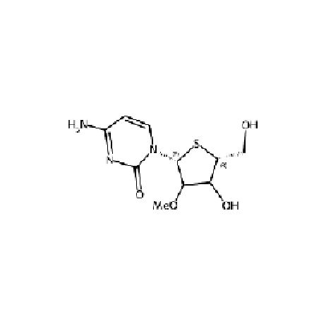 COC1C(O)[C@@H](CO)S[C@H]1n1ccc(N)nc1=O